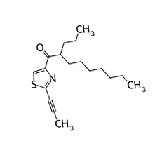 CC#Cc1nc(C(=O)C(CCC)CCCCCCC)cs1